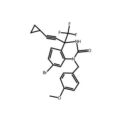 COc1ccc(CN2C(=O)NC(C#CC3CC3)(C(F)(F)F)c3ccc(Br)cc32)cc1